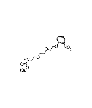 CC(C)(C)OC(=O)NCCOCCOCCOc1ccccc1[N+](=O)[O-]